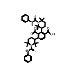 CC1(C)CCC(c2ccc(C(=O)O)c(C3CCC(C)(C)N(C(=S)Nc4ccccc4)C3(C)C)c2C(=O)O)C(C)(C)N1C(=S)Nc1ccccc1